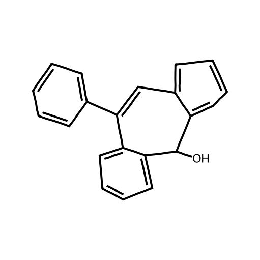 OC1c2ccccc2C=C(c2ccccc2)c2ccccc21